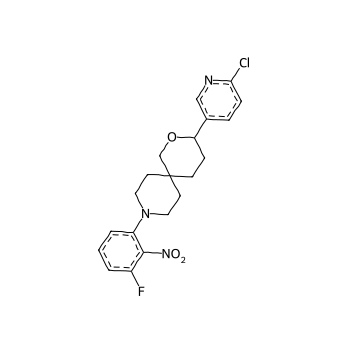 O=[N+]([O-])c1c(F)cccc1N1CCC2(CCC(c3ccc(Cl)nc3)OC2)CC1